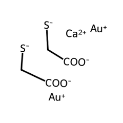 O=C([O-])C[S-].O=C([O-])C[S-].[Au+].[Au+].[Ca+2]